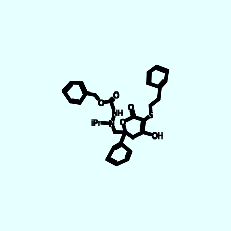 CC(C)N(CC1(c2ccccc2)CC(O)=C(SCCc2ccccc2)C(=O)O1)NC(=O)OCc1ccccc1